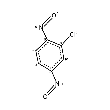 O=Nc1ccc(N=O)c(Cl)c1